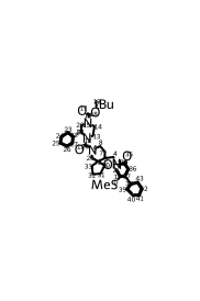 CSc1cn(CC2(O)CCN(C(=O)N3CCN(C(=O)OC(C)(C)C)C[C@H]3c3ccccc3)CC23CCCC3)c(=O)cc1-c1ccccc1